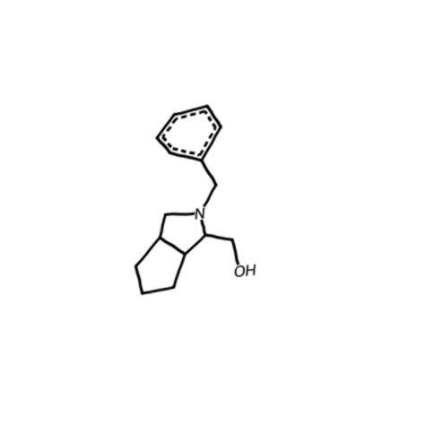 OCC1C2CCCC2CN1Cc1ccccc1